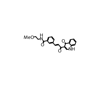 COCCNC(=O)c1cccc(C=CC(=O)c2c[nH]c3ccccc3c2=O)c1